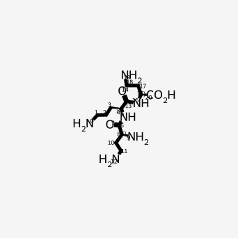 NCCC[C@H](NC(=O)[C@@H](N)CCN)C(=O)N[C@@H](CCN)C(=O)O